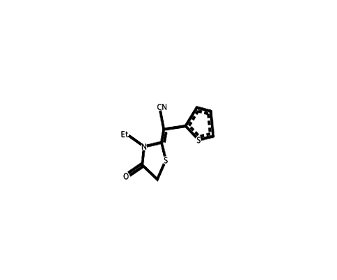 CCN1C(=O)CS/C1=C(/C#N)c1cccs1